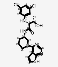 C[C@H](O)[C@@H](Nc1cc(Cl)cc(Cl)c1)C(=O)N[C@@H]1CCCN(c2ncnc3[nH]ccc23)C1